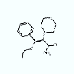 CCO/C(=C(\C(N)=O)N1CCOCC1)c1ccccc1